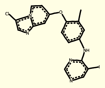 Cc1cc(Nc2ncncc2I)ccc1Oc1ccn2c(Cl)cnc2c1